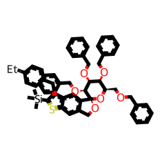 CCc1ccc(Cc2c([Si](C)(C)C)sc3cc4c(cc23)[C@]2(OC4)O[C@H](COCc3ccccc3)[C@H](OCc3ccccc3)[C@H](OCc3ccccc3)[C@H]2OCc2ccccc2)cc1